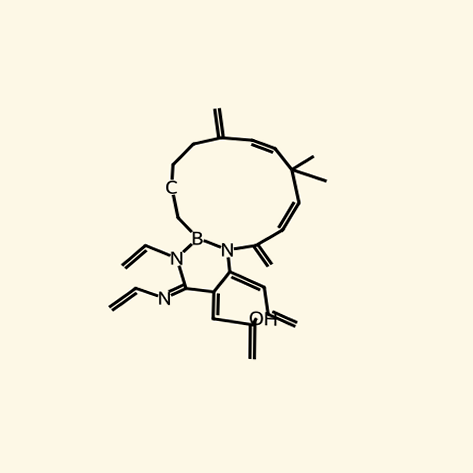 C=C\C=C1C(=C\C(=C)O)/C(=N/C=C)N(C=C)B2CCCCC(=C)/C=C\C(C)(C)/C=C\C(=C)N2/1